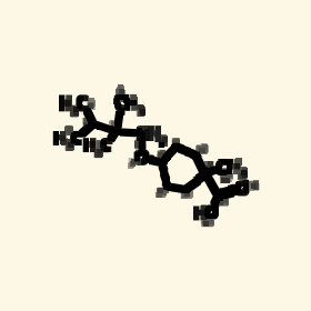 CC(C)C(C)(C)[SiH2]OC1CCC(C)(C(=O)O)CC1